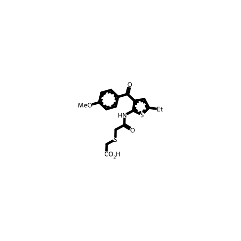 CCc1cc(C(=O)c2ccc(OC)cc2)c(NC(=O)CSCC(=O)O)s1